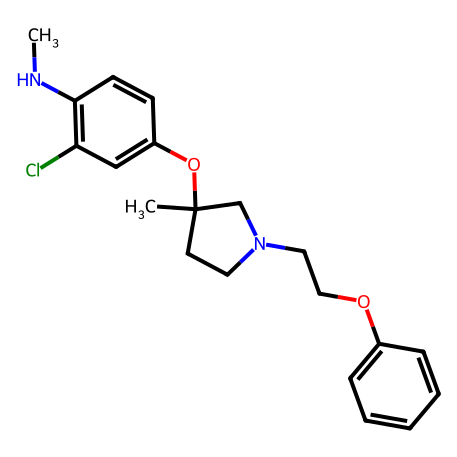 CNc1ccc(OC2(C)CCN(CCOc3ccccc3)C2)cc1Cl